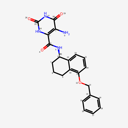 Nc1c(C(=O)N[C@@H]2CCCc3c(OCc4ccccc4)cccc32)[nH]c(=O)[nH]c1=O